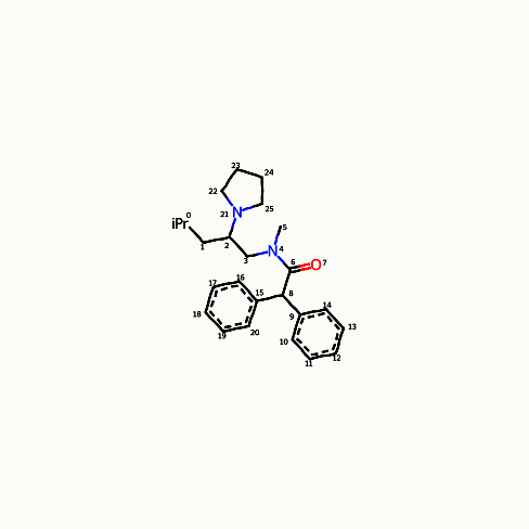 CC(C)CC(CN(C)C(=O)C(c1ccccc1)c1ccccc1)N1CCCC1